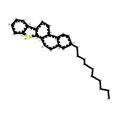 CCCCCCCCCCc1ccc2c(ccc3c2ccc2c4ccccc4sc23)c1